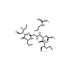 CC[C@H](C)[C@H](NC(=O)[C@H](CCCNC(=N)N)NN[C@@H](CC(N)=O)C(=O)N[C@H](C=O)[C@@H](C)CC)C(=O)N[C@H](C=O)[C@@H](C)CC